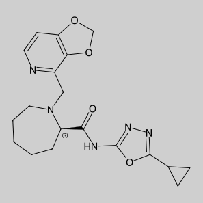 O=C(Nc1nnc(C2CC2)o1)[C@H]1CCCCCN1Cc1nccc2c1OCO2